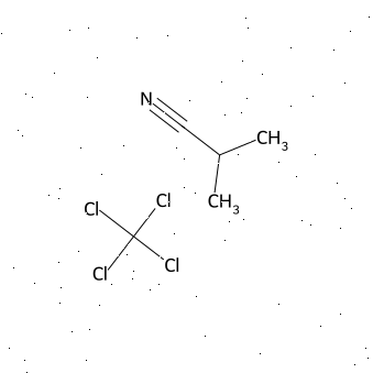 CC(C)C#N.ClC(Cl)(Cl)Cl